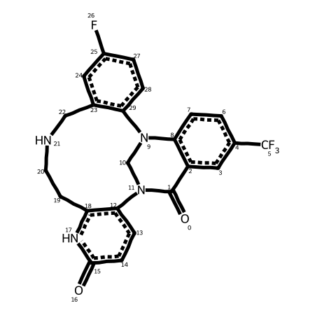 O=C1c2cc(C(F)(F)F)ccc2N2CN1c1ccc(=O)[nH]c1CCNCc1cc(F)ccc12